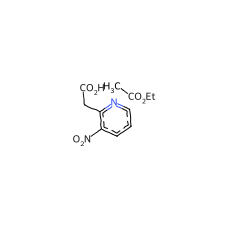 CCOC(C)=O.O=C(O)Cc1ncccc1[N+](=O)[O-]